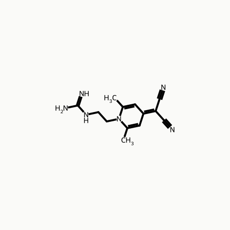 CC1=CC(=C(C#N)C#N)C=C(C)N1CCNC(=N)N